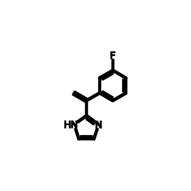 C=C(c1cccc(F)c1)c1ncc[nH]1